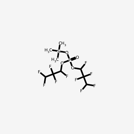 C[Si](C)(C)OP(=O)(OC(F)C(F)(F)C(F)F)OC(F)C(F)(F)C(F)F